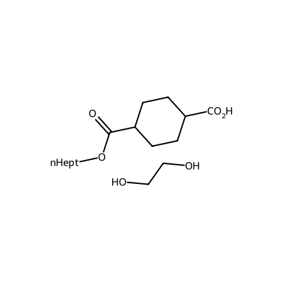 CCCCCCCOC(=O)C1CCC(C(=O)O)CC1.OCCO